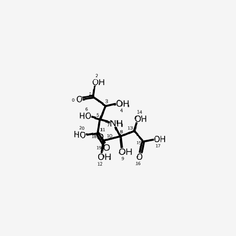 O=C(O)C(O)C(O)(NC(O)(C(=O)O)C(O)C(=O)O)C(=O)O